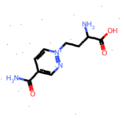 NC(=O)c1cc[n+](CCC(N)C(=O)O)nc1